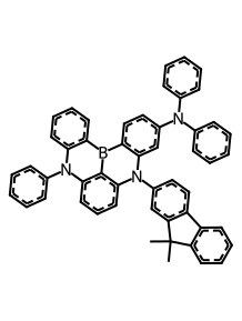 CC1(C)c2ccccc2-c2ccc(N3c4cc(N(c5ccccc5)c5ccccc5)ccc4B4c5ccccc5N(c5ccccc5)c5cccc3c54)cc21